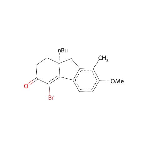 CCCCC12CCC(=O)C(Br)=C1c1ccc(OC)c(C)c1C2